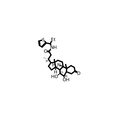 CCC(NC(=O)C[C@@H](C)C1CC[C@H]2C3[C@H](O)[C@H](O)C4CC(=O)CCC4(C)[C@@]3(N)CCC12C)c1cccs1